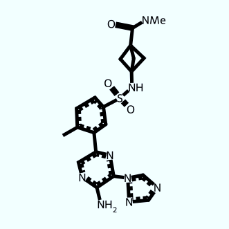 CNC(=O)C12CC(NS(=O)(=O)c3ccc(C)c(-c4cnc(N)c(-n5cncn5)n4)c3)(C1)C2